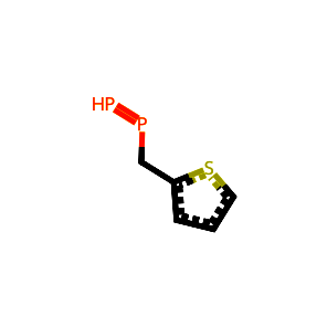 P=PCc1cccs1